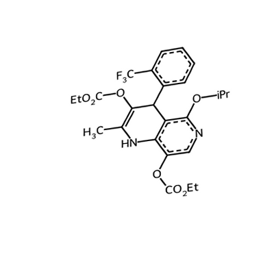 CCOC(=O)OC1=C(C)Nc2c(OC(=O)OCC)cnc(OC(C)C)c2C1c1ccccc1C(F)(F)F